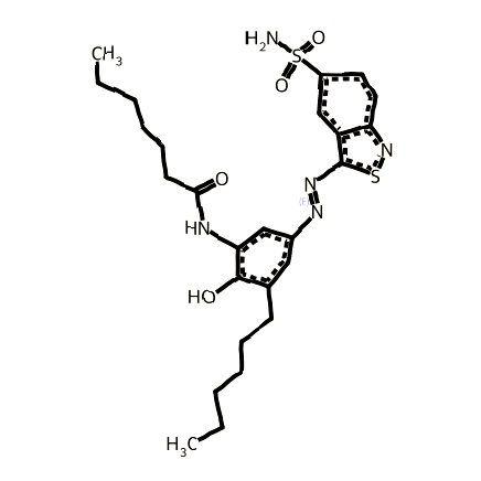 CCCCCCC(=O)Nc1cc(/N=N/c2snc3ccc(S(N)(=O)=O)cc23)cc(CCCCCC)c1O